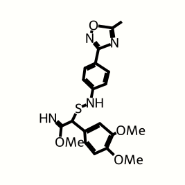 COC(=N)C(SNc1ccc(-c2noc(C)n2)cc1)c1ccc(OC)c(OC)c1